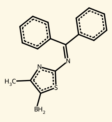 Bc1sc(N=C(c2ccccc2)c2ccccc2)nc1C